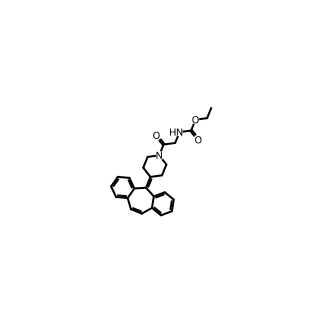 CCOC(=O)NCC(=O)N1CCC(=C2c3ccccc3C=Cc3ccccc32)CC1